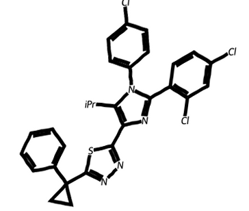 CC(C)c1c(-c2nnc(C3(c4ccccc4)CC3)s2)nc(-c2ccc(Cl)cc2Cl)n1-c1ccc(Cl)cc1